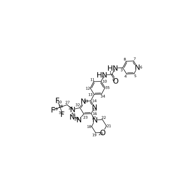 O=C(Nc1ccncc1)Nc1ccc(-c2nc(N3CCOCC3)c3nnn(CC(F)(F)F)c3n2)cc1